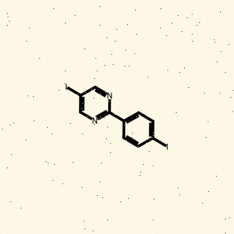 Ic1ccc(-c2ncc(I)cn2)cc1